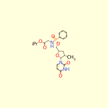 CC(C)OC(=O)CN[P@@](=O)(OCC1CC(C)C(n2ccc(=O)[nH]c2=O)O1)c1ccccc1